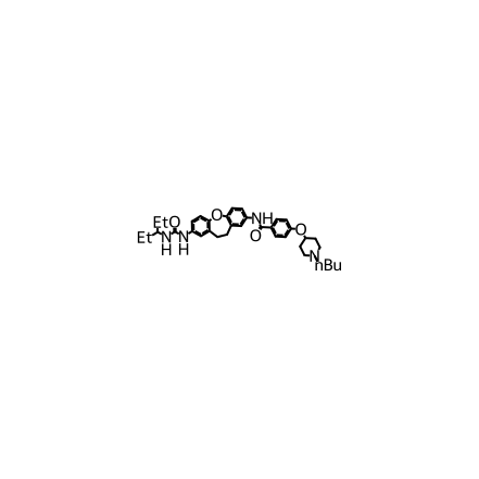 CCCCN1CCC(Oc2ccc(C(=O)Nc3ccc4c(c3)CCc3cc(NC(=O)NC(CC)CC)ccc3O4)cc2)CC1